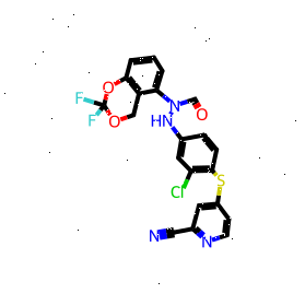 N#Cc1cc(Sc2ccc(NN(C=O)c3cccc4c3COC(F)(F)O4)cc2Cl)ccn1